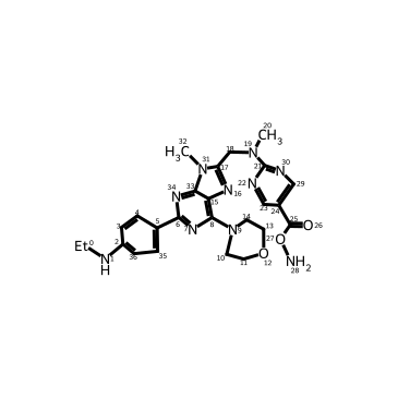 CCNc1ccc(-c2nc(N3CCOCC3)c3nc(CN(C)c4ncc(C(=O)ON)cn4)n(C)c3n2)cc1